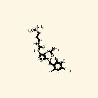 Cc1cc(F)c(COc2nsc(NC(=O)NCCCN(C)C)c2OC(N)=O)c(F)c1F